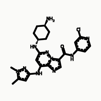 Cc1cc(Nc2cc(N[C@H]3CC[C@H](N)CC3)nn3c(C(=O)Nc4ccnc(Cl)c4)cnc23)nn1C